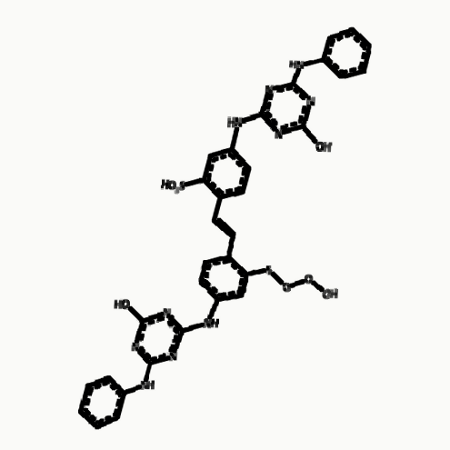 O=S(=O)(O)c1cc(Nc2nc(O)nc(Nc3ccccc3)n2)ccc1C=Cc1ccc(Nc2nc(O)nc(Nc3ccccc3)n2)cc1SOOO